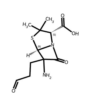 CC1(C)S[C@H]2N(C(=O)C2(N)CCC=O)[C@H]1C(=O)O